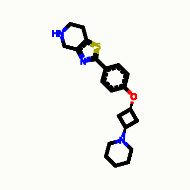 c1cc(-c2nc3c(s2)CCNC3)ccc1O[C@H]1C[C@H](N2CCCCC2)C1